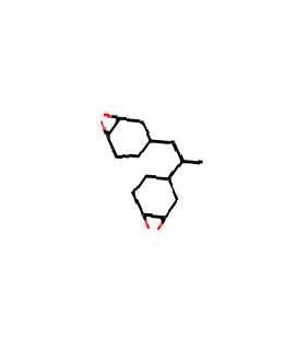 CC(CC1CCC2OC2C1)C1CCC2OC2C1